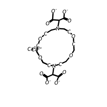 O=C([O-])C(C(=O)[O-])N1CCOCCOCCN(C(C(=O)[O-])C(=O)[O-])CCOCCOCC1.[Ca+2].[Ca+2]